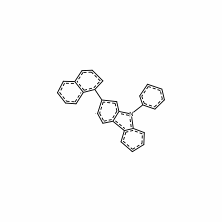 [c]1cc2c3ccccc3n(-c3ccccc3)c2cc1-c1cccc2ccccc12